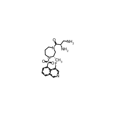 C[C@H]1CN(C(=O)[C@H](N)CN)CCCN1S(=O)(=O)c1cccc2cncc(F)c12